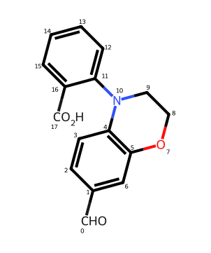 O=Cc1ccc2c(c1)OCCN2c1ccccc1C(=O)O